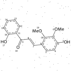 COc1c(O)ccc(C=CC(=O)c2ccccc2O)c1OC